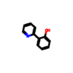 Oc1ccccc1-c1ccccn1